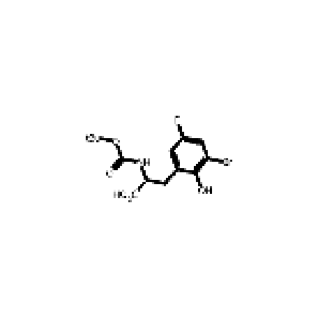 CC(C)(C)OC(=O)N[C@@H](Cc1cc(F)cc(Br)c1O)C(=O)O